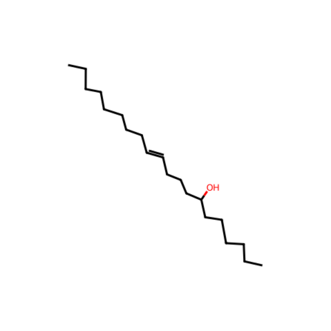 CCCCCCCCC=CCCCC(O)CCCCCC